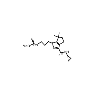 COC(=O)NCCCn1nc([C@@H](C)NC2CC2)c2c1C(C)(C)CC2